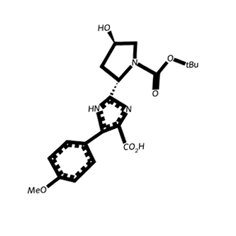 COc1ccc(-c2[nH]c([C@@H]3C[C@@H](O)CN3C(=O)OC(C)(C)C)nc2C(=O)O)cc1